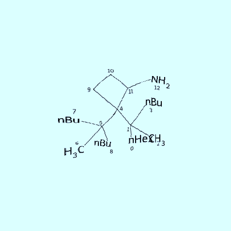 CCCCCCC(C)(CCCC)C1(C(C)(CCCC)CCCC)CCC1N